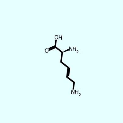 NC/C=C/C[C@H](N)C(=O)O